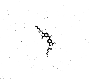 CCCCC(=O)OC1OC(=O)c2cc(C(=O)c3ccc4c(c3)C(=O)OC4OC(=O)CCCC)ccc21